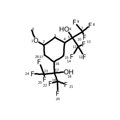 COC1CC(C(O)(C(F)(F)F)C(F)(F)F)CC(C(O)(C(F)(F)F)C(F)(F)F)C1